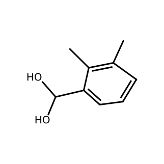 Cc1cccc(C(O)O)c1C